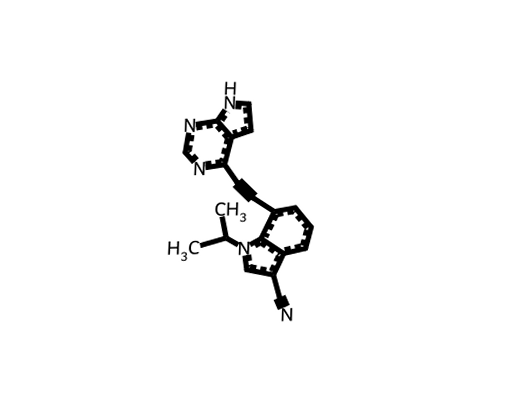 CC(C)n1cc(C#N)c2cccc(C#Cc3ncnc4[nH]ccc34)c21